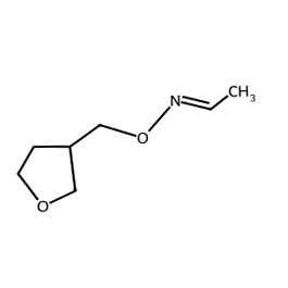 CC=NOCC1CCOC1